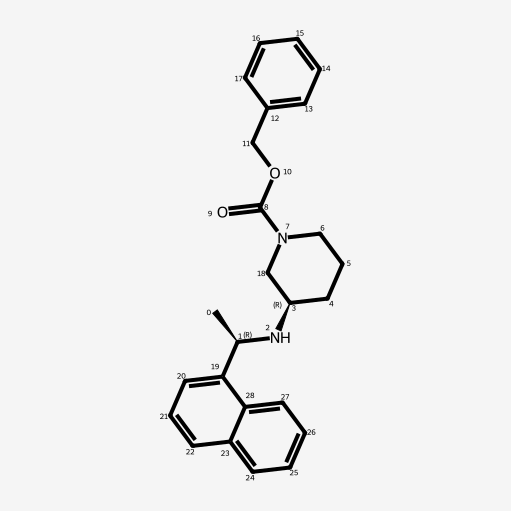 C[C@@H](N[C@@H]1CCCN(C(=O)OCc2ccccc2)C1)c1cccc2ccccc12